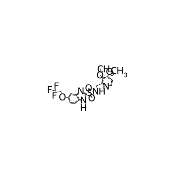 COc1ccnc(CNS(=O)(=O)c2nc3cc(OCC(F)(F)F)ccc3[nH]2)c1OC